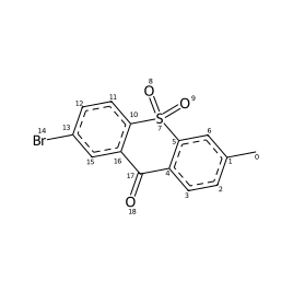 Cc1ccc2c(c1)S(=O)(=O)c1ccc(Br)cc1C2=O